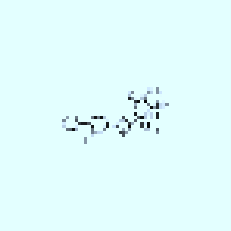 CN1C(=N)N[C@](C)(c2cnc(-c3ccc(-c4ccccc4)c(F)c3)s2)CC1=O